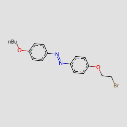 CCCCOc1ccc(N=Nc2ccc(OCCBr)cc2)cc1